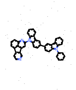 c1ccc(-n2c3ccccc3c3cc(-c4ccc5c(c4)c4ccccc4n5-c4cc5c6c(cccc6n4)-c4ccncc4-5)ccc32)cc1